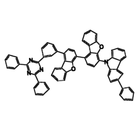 c1ccc(-c2ccc3c(c2)c2ccccc2n3-c2ccc(-c3ccc(-c4cccc(-c5nc(-c6ccccc6)nc(-c6ccccc6)n5)c4)c4c3oc3ccccc34)c3c2oc2ccccc23)cc1